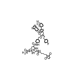 Cc1cccc(-c2nc(CN(CCc3ccc(F)cc3)C(=O)OCc3ccc(NC(=O)[C@H](CCCNC(N)=O)NC(=O)C(NC(=O)CCCCCN4C(=O)C=CC4=O)C(C)C)cc3)[nH]c2-c2ccc3ncnn3c2)n1